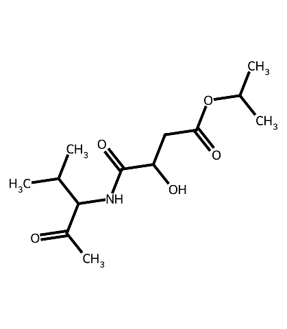 CC(=O)C(NC(=O)C(O)CC(=O)OC(C)C)C(C)C